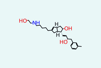 Cc1cccc(C[C@H](O)/C=C/[C@@H]2[C@H]3CC(CCCCCNCCO)=C[C@H]3C[C@H]2O)c1